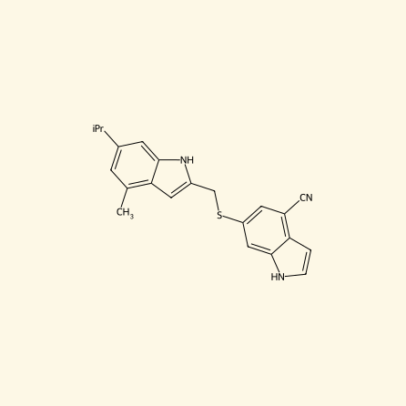 Cc1cc(C(C)C)cc2[nH]c(CSc3cc(C#N)c4cc[nH]c4c3)cc12